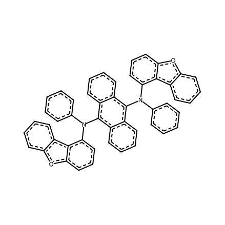 c1ccc(N(c2c3ccccc3c(N(c3ccccc3)c3cccc4oc5ccccc5c34)c3ccccc23)c2cccc3oc4ccccc4c23)cc1